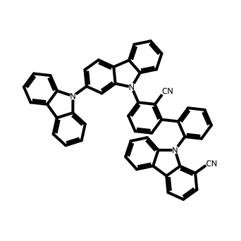 N#Cc1c(-c2ccccc2-n2c3ccccc3c3cccc(C#N)c32)cccc1-n1c2ccccc2c2ccc(-n3c4ccccc4c4ccccc43)cc21